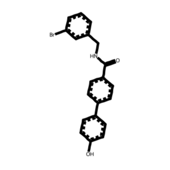 O=C(NCc1cccc(Br)c1)c1ccc(-c2ccc(O)cc2)cc1